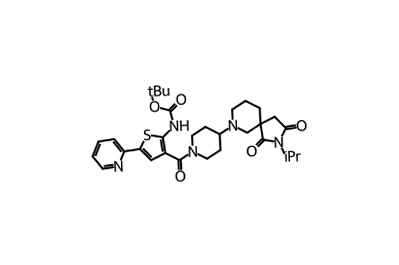 CC(C)N1C(=O)CC2(CCCN(C3CCN(C(=O)c4cc(-c5ccccn5)sc4NC(=O)OC(C)(C)C)CC3)C2)C1=O